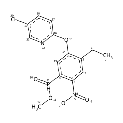 CCc1cc([N+](=O)[O-])c([PH](=O)OC)cc1Oc1ccc(Cl)cn1